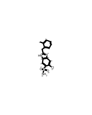 Cc1ccccc1Cc1nc2cc(Cl)c(S(N)(=O)=O)cc2[nH]1